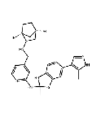 Cc1[nH]ncc1-c1ccc2c(c1)SC(C)(Nc1cc(CNC3C[C@@H]4CC[C@H]3C4)ccn1)N2